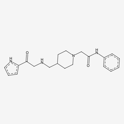 O=C(CN1CCC(CNCC(=O)c2ccc[nH]2)CC1)Nc1ccccc1